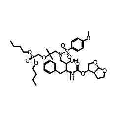 CCCCOP(=O)(COC(C)(C)CN(CC(O)C(Cc1ccccc1)NC(=O)OC1COC2OCCC12)S(=O)(=O)c1ccc(OC)cc1)OCCCC